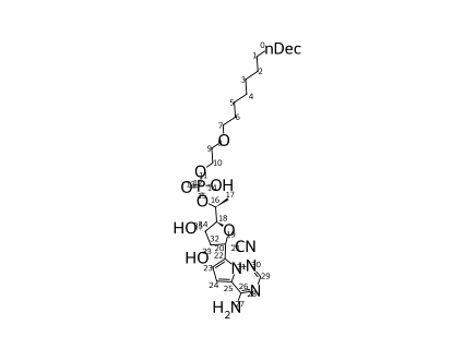 CCCCCCCCCCCCCCCCCOCCOP(=O)(O)O[C@@H](C)[C@H]1O[C@@](C#N)(c2ccc3c(N)ncnn23)[C@H](O)[C@@H]1O